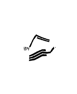 C#C[CH2].C=CC(C)C